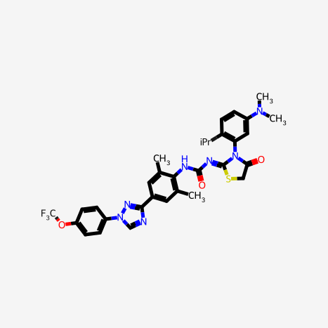 Cc1cc(-c2ncn(-c3ccc(OC(F)(F)F)cc3)n2)cc(C)c1NC(=O)/N=C1\SCC(=O)N1c1cc(N(C)C)ccc1C(C)C